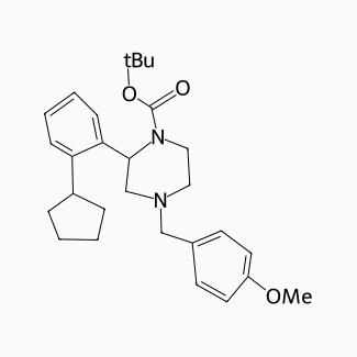 COc1ccc(CN2CCN(C(=O)OC(C)(C)C)C(c3ccccc3C3CCCC3)C2)cc1